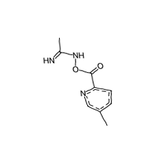 CC(=N)NOC(=O)c1ccc(C)cn1